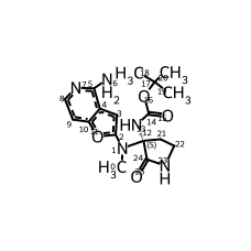 CN(c1cc2c(N)nccc2o1)[C@@]1(NC(=O)OC(C)(C)C)CCNC1=O